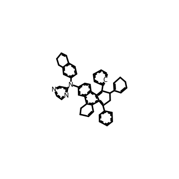 C1=CC(C2CC(c3ccccc3)=c3c4c(c5cc(N(c6ccc7c(c6)CCC=C7)c6cnccn6)ccc5c3=C2c2ccccc2)CCC=C4)=CCC1